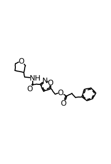 O=C(CCc1ccccc1)OCc1cc(C(=O)NCC2CCOC2)no1